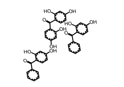 O=C(c1ccc(O)cc1O)c1ccc(O)cc1O.O=C(c1ccccc1)c1ccc(O)cc1O.O=C(c1ccccc1)c1ccc(O)cc1O